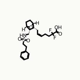 O=C(O)C(F)(F)CC/C=C\C[C@@H]1[C@H](CNS(=O)(=O)CCc2ccccc2)[C@@H]2CC[C@H]1O2